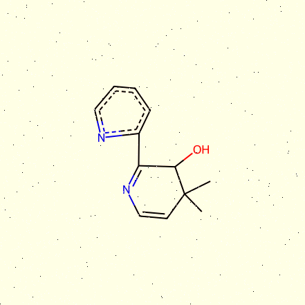 CC1(C)C=CN=C(c2ccccn2)C1O